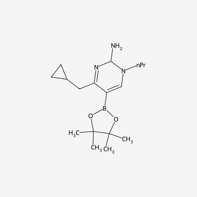 CCCN1C=C(B2OC(C)(C)C(C)(C)O2)C(CC2CC2)=NC1N